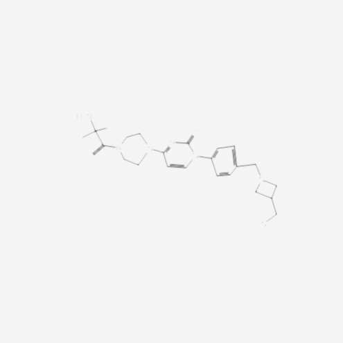 CC(C)(N)C(=O)N1CCN(c2ccn(-c3ccc(CN4CC(CN)C4)cc3)c(=O)n2)CC1